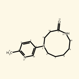 Cc1ccc(N2CCCCCNC(=O)CC2)cn1